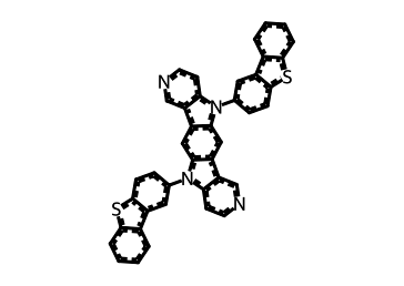 c1ccc2c(c1)sc1ccc(-n3c4ccncc4c4cc5c(cc43)c3cnccc3n5-c3ccc4sc5ccccc5c4c3)cc12